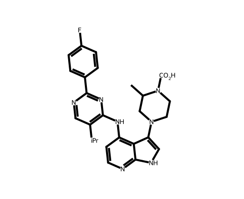 CC(C)c1cnc(-c2ccc(F)cc2)nc1Nc1ccnc2[nH]cc(N3CCN(C(=O)O)C(C)C3)c12